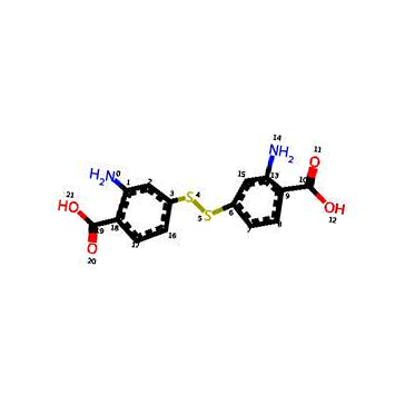 Nc1cc(SSc2ccc(C(=O)O)c(N)c2)ccc1C(=O)O